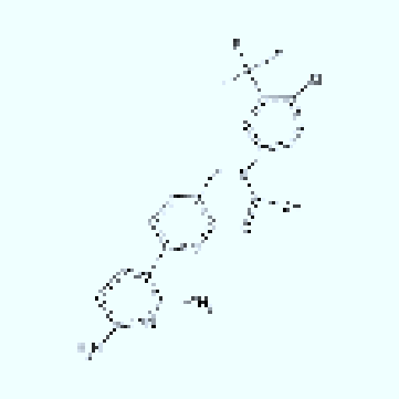 Cc1nc(N)ccc1-c1ccc(CN(C(=O)O)c2ccc(Cl)c(C(F)(F)F)c2)cc1